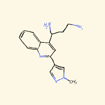 Cn1cc(-c2cc(C(N)CCN)c3ccccc3n2)cn1